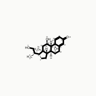 C[C@H](CO)[C@H]1CC[C@H]2[C@@H]3CCC4=CC(=O)C=C[C@]4(C)[C@H]3[C@H](O)C[C@]12C